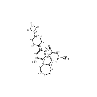 Cc1cc(N2CCCOC[C@@H]2c2ccc(C3CCN(C4COC4)CC3)cc2Cl)nc(N)n1